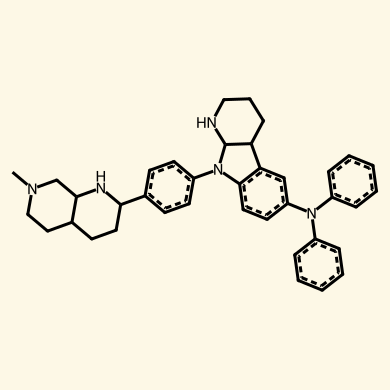 CN1CCC2CCC(c3ccc(N4c5ccc(N(c6ccccc6)c6ccccc6)cc5C5CCCNC54)cc3)NC2C1